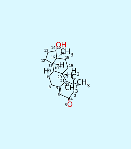 CC1(C)CC(=O)C=C2CC[C@H]3[C@@H]4CC[C@H](O)[C@@]4(C)CC[C@@H]3[C@]21C